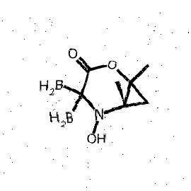 BC1(B)C(=O)OC2(C)C[C@]2(C)N1O